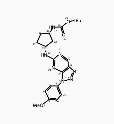 COc1ccc(-n2nnc3cnc(N[C@@H]4CC[C@@H](NC(=O)OC(C)(C)C)C4)nc32)cc1